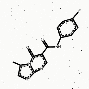 Cc1csc2ncc(C(=O)Nc3ccc(F)cc3)c(=O)n12